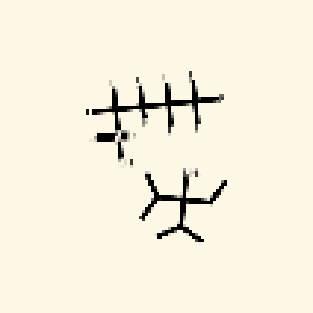 CCC(N)(C(C)C)C(C)C.O=S(=O)(O)C(F)(F)C(F)(F)C(F)(F)C(F)(F)F